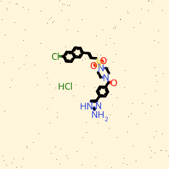 Cl.Nc1nc(-c2ccc(C(=O)N3CCN(S(=O)(=O)CC=Cc4ccc5cc(Cl)ccc5c4)CC3)cc2)c[nH]1